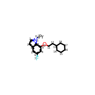 CC(C)n1ccc2cc(F)cc(OCCC3CCCCC3)c21